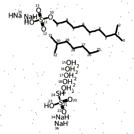 CC(C)CCCCCCCOS(=O)(=O)O.O.O.O.O.O.O=S(=O)(O)S.[CH2]CCCCC(C)C.[NaH].[NaH].[NaH].[NaH]